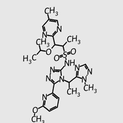 COc1cccc(-c2nnc(NS(=O)(=O)C(C)C(OC(C)C)c3ncc(C)cn3)n2C(C)c2ncnn2C)n1